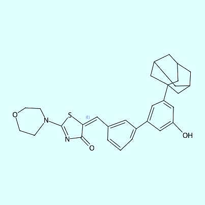 O=C1N=C(N2CCOCC2)S/C1=C/c1cccc(-c2cc(O)cc(C34CC5CC(CC(C5)C3)C4)c2)c1